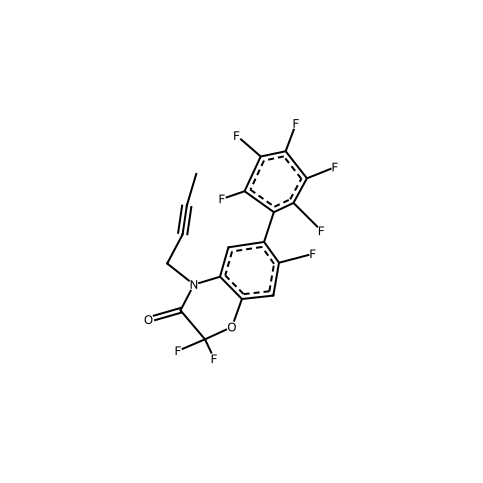 CC#CCN1C(=O)C(F)(F)Oc2cc(F)c(-c3c(F)c(F)c(F)c(F)c3F)cc21